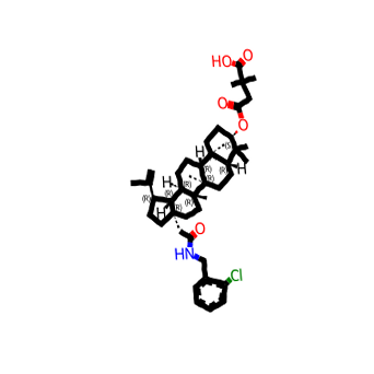 C=C(C)[C@@H]1CC[C@]2(CC(=O)NCc3ccccc3Cl)CC[C@]3(C)[C@H](CC[C@@H]4[C@@]5(C)CC[C@H](OC(=O)CC(C)(C)C(=O)O)C(C)(C)[C@@H]5CC[C@]43C)[C@@H]12